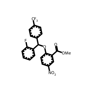 COC(=O)c1cc([N+](=O)[O-])ccc1OC(c1ccc(C(F)(F)F)cc1)c1ccccc1F